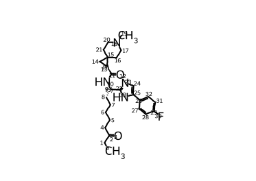 CCC(=O)CCCCC[C@H](NC(=O)[C@H]1CC12CCN(C)CC2)c1ncc(-c2ccc(F)cc2)[nH]1